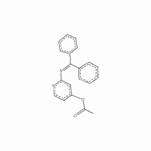 CC(=O)Oc1ccnc(N=C(c2ccccc2)c2ccccc2)c1